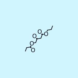 CCCOC(=O)CC(=O)COC(=O)CC